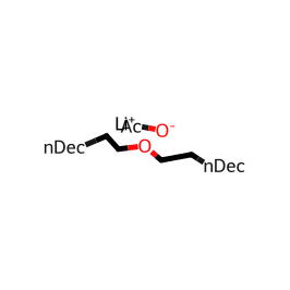 CC(=O)[O-].CCCCCCCCCCCCOCCCCCCCCCCCC.[Li+]